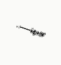 CCCCCCCCCCCCOC(=O)Nc1nc(Cl)nc2c1ncn2[C@@H]1O[C@H](COP(=O)(O)CP(=O)(O)O)[C@H](O)[C@@H]1O